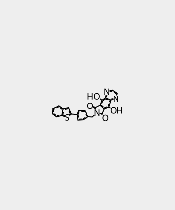 O=C1c2c(c(O)c3nccnc3c2O)C(=O)N1Cc1ccc(-c2cc3ccccc3s2)cc1